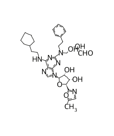 Cc1cnc([C@H]2O[C@@H](n3cnc4c(NCCC5CCCCC5)nc(N(CO)CCc5ccccc5)nc43)[C@H](O)[C@@H]2O)o1.O=CO